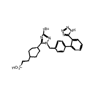 CCCCc1nc(C2CCC(CCC(=O)O)CC2)n(Cc2ccc(-c3ccccc3-c3nnn[nH]3)cc2)n1